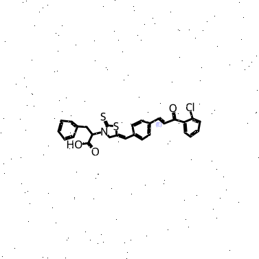 O=C(/C=C/c1ccc(C=C2CN(C(Cc3ccccc3)C(=O)O)C(=S)S2)cc1)c1ccccc1Cl